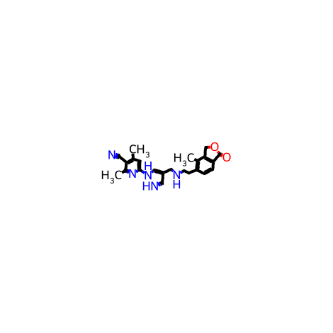 Cc1cc(N/C=C(\C=N)CNCCc2ccc3c(c2C)COC3=O)nc(C)c1C#N